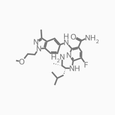 COCCn1nc(C)c2cc(Nc3nc(N[C@H](CC(C)C)[C@H](C)N)c(F)cc3C(N)=O)ccc21